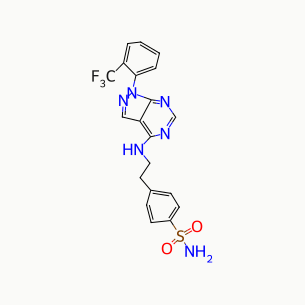 NS(=O)(=O)c1ccc(CCNc2ncnc3c2cnn3-c2ccccc2C(F)(F)F)cc1